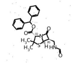 CC1(C)S[C@@H]2[C@H](CNC=O)C(=O)N2[C@H]1C(=O)OC(c1ccccc1)c1ccccc1